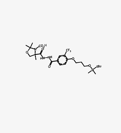 CC1(C)OCC(C)(C(=O)NNC(=O)c2ccc(OCCCO[Si](C)(C)C(C)(C)C)c(C(F)(F)F)c2)N1C(=O)O